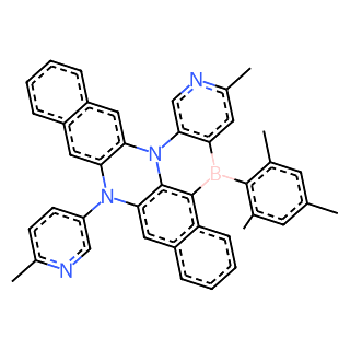 Cc1cc(C)c(B2c3cc(C)ncc3N3c4cc5ccccc5cc4N(c4ccc(C)nc4)c4cc5ccccc5c2c43)c(C)c1